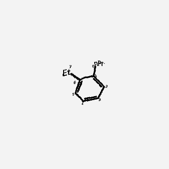 [CH2]C[CH]c1ccccc1CC